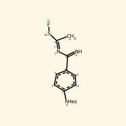 CCCCCCc1ccc(C(=N)/N=C(\C)SF)cc1